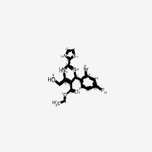 CCOC(=O)C1=C(CO)NC(c2nccs2)=NC1c1ccc(F)cc1Br